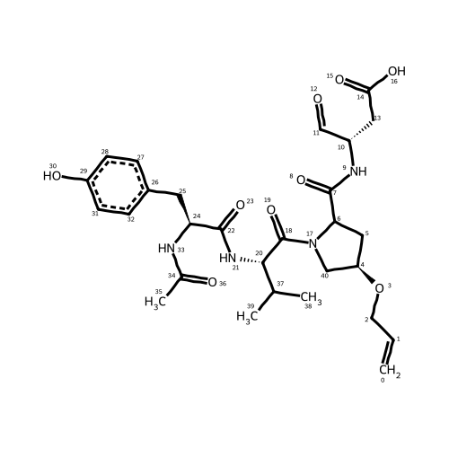 C=CCO[C@@H]1CC(C(=O)N[C@H](C=O)CC(=O)O)N(C(=O)[C@@H](NC(=O)[C@H](Cc2ccc(O)cc2)NC(C)=O)C(C)C)C1